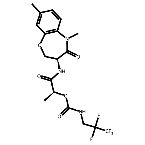 Cc1ccc2c(c1)OC[C@H](NC(=O)[C@H](C)OC(=O)NCC(F)(F)C(F)(F)F)C(=O)N2C